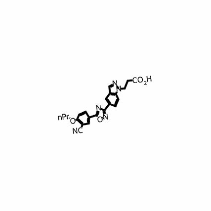 CCCOc1ccc(-c2nc(-c3ccc4c(cnn4CCC(=O)O)c3)no2)cc1C#N